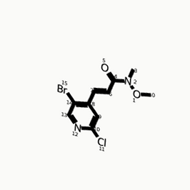 CON(C)C(=O)C=Cc1cc(Cl)ncc1Br